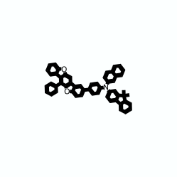 CC1(C)c2ccccc2-c2ccc(N(c3ccc(-c4ccc5oc6c(-c7ccccc7)c7c(cc6c5c4)oc4ccccc47)cc3)c3ccc4ccccc4c3)cc21